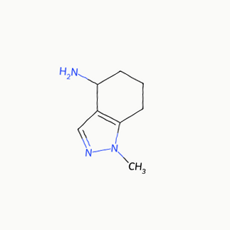 Cn1ncc2c1CCCC2N